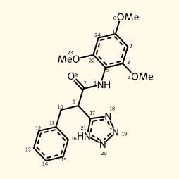 COc1cc(OC)c(NC(=O)C(Cc2ccccc2)c2nnn[nH]2)c(OC)c1